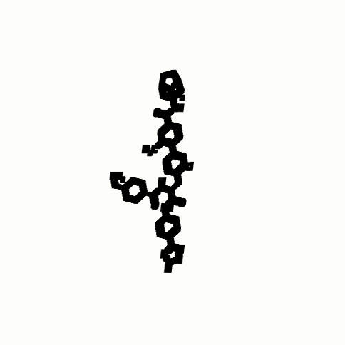 Cc1cc(C(=O)NC2CC3CCC(C2)N3C)ccc1-c1ccc(C[C@H](NC(=O)[C@H]2CC[C@H](CN)CC2)C(=O)Nc2ccc(-c3nn[nH]n3)cc2)cc1.Cl